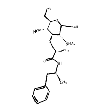 CC(=O)N[C@H]1C(O)O[C@H](CO)[C@@H](O)[C@@H]1O[C@@H](C)C(=O)N[C@@H](C)Cc1ccccc1